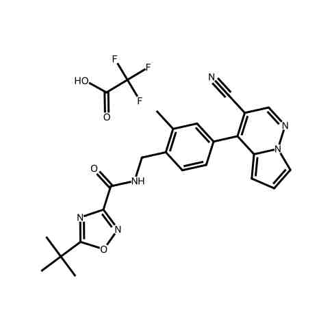 Cc1cc(-c2c(C#N)cnn3cccc23)ccc1CNC(=O)c1noc(C(C)(C)C)n1.O=C(O)C(F)(F)F